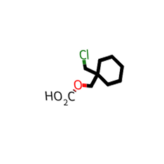 O=C(O)OCC1(CCl)CCCCC1